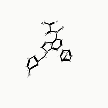 CCN(C(=O)C(N)=O)c1cccc2c1ccn2Cc1cccc(C(C)C)c1.c1cc2ccc1CO2